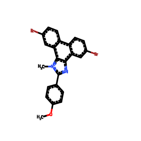 COc1ccc(-c2nc3c4cc(Br)ccc4c4ccc(Br)cc4c3n2C)cc1